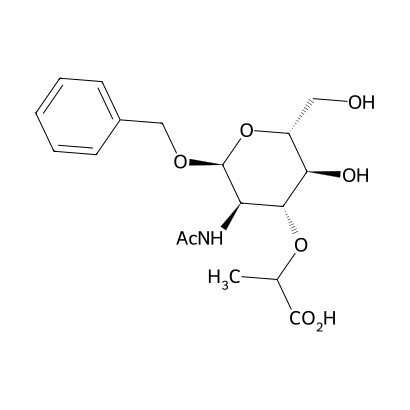 CC(=O)N[C@H]1[C@@H](OCc2ccccc2)O[C@H](CO)[C@@H](O)[C@@H]1OC(C)C(=O)O